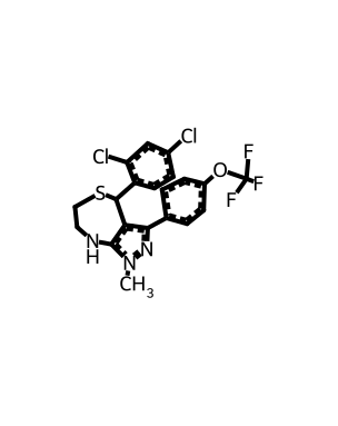 Cn1nc(-c2ccc(OC(F)(F)F)cc2)c2c1NCCSC2c1ccc(Cl)cc1Cl